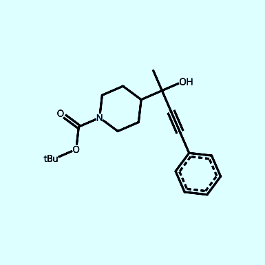 CC(C)(C)OC(=O)N1CCC(C(C)(O)C#Cc2ccccc2)CC1